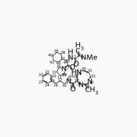 CN[C@@H](C)C(=O)N[C@H](C(=O)N1CCC[C@H]1CN(CCCc1ccccc1)C(=O)c1c[nH]cccnc(C)n1)C1CCCCC1